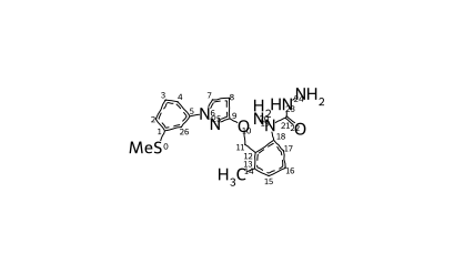 CSc1cccc(-n2ccc(OCc3c(C)cccc3N(N)C(=O)NN)n2)c1